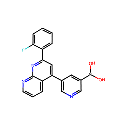 OB(O)c1cncc(-c2cc(-c3ccccc3F)nc3ncccc23)c1